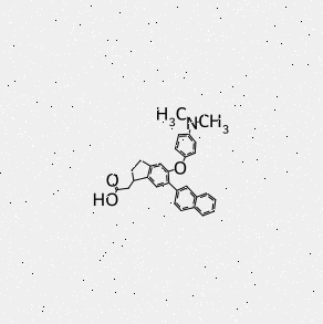 CN(C)c1ccc(Oc2cc3c(cc2-c2ccc4ccccc4c2)C(CC(=O)O)CC3)cc1